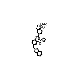 CC(=O)OS(=O)(=O)N1CCC(COc2ccc(CN3Cc4ccccc4C3)cc2S(=O)(=O)N2CCC2)CC1C